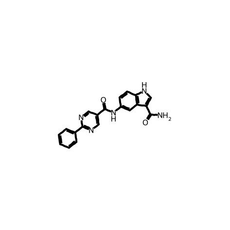 NC(=O)c1c[nH]c2ccc(NC(=O)c3cnc(-c4ccccc4)nc3)cc12